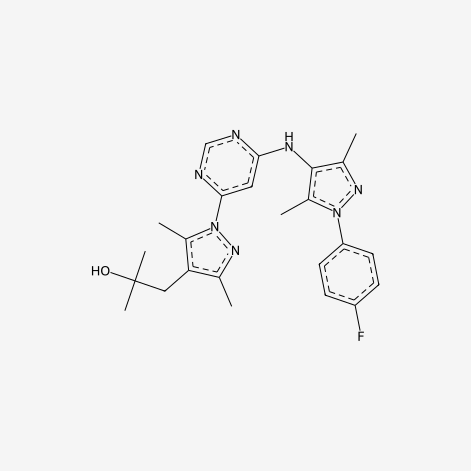 Cc1nn(-c2cc(Nc3c(C)nn(-c4ccc(F)cc4)c3C)ncn2)c(C)c1CC(C)(C)O